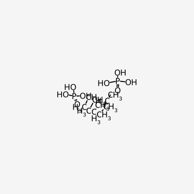 CC.CC.CC.CC.CC.O=P(O)(O)O.O=P(O)(O)O